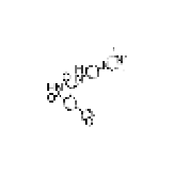 C[C@@H]1CN(c2ccc(NC=C3C(=O)NC(=O)c4ccc(-c5ccoc5)cc43)cc2)C[C@H](C)N1C